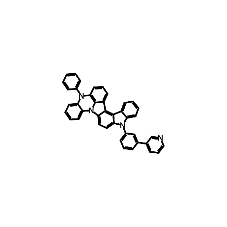 c1ccc(N2c3ccccc3-n3c4ccc5c(c6ccccc6n5-c5cccc(-c6cccnc6)c5)c4c4cccc2c43)cc1